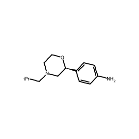 C[C](C)CN1CCO[C@@H](c2ccc(N)cc2)C1